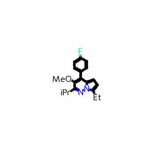 CCc1ccc2c(-c3ccc(F)cc3)c(OC)c(C(C)C)nn12